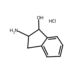 Cl.NC1Cc2ccccc2C1O